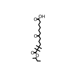 CCC(C)OC(=O)C(C)(C)C(C)(C)CCCC(=O)CCCCCC(=O)O